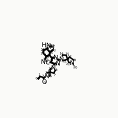 C=CC(=O)N1CC2(CCN(c3nc(N4CCC5(CCN(C)C5)C4)nc(-c4c(C)ccc5[nH]ncc45)c3C#N)C2)C1